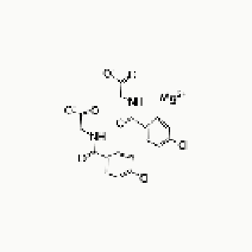 O=C([O-])CNC(=O)c1ccc(Cl)cc1.O=C([O-])CNC(=O)c1ccc(Cl)cc1.[Mg+2]